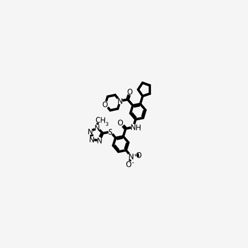 Cn1nnnc1Sc1ccc([N+](=O)[O-])cc1C(=O)Nc1ccc(C2CCCC2)c(C(=O)N2CCOCC2)c1